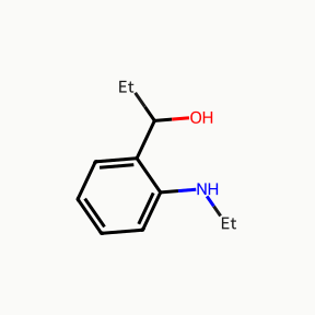 CCNc1ccccc1C(O)CC